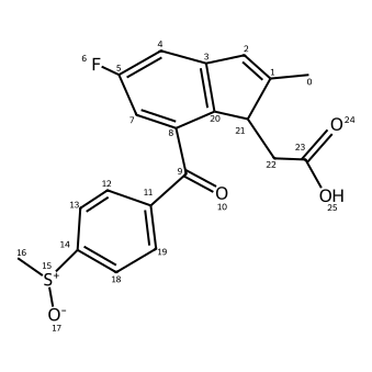 CC1=Cc2cc(F)cc(C(=O)c3ccc([S+](C)[O-])cc3)c2C1CC(=O)O